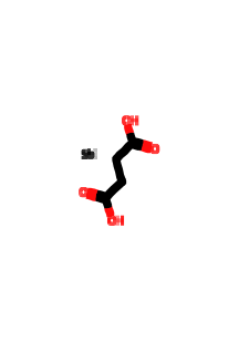 O=C(O)CCC(=O)O.[Sb]